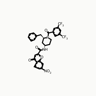 O=C(N[C@H]1CCN(C(=O)c2cc(C(F)(F)F)cc(C(F)(F)F)c2)[C@H](Cc2ccccc2)C1)c1cc(=O)c2ccc([N+](=O)[O-])cc2o1